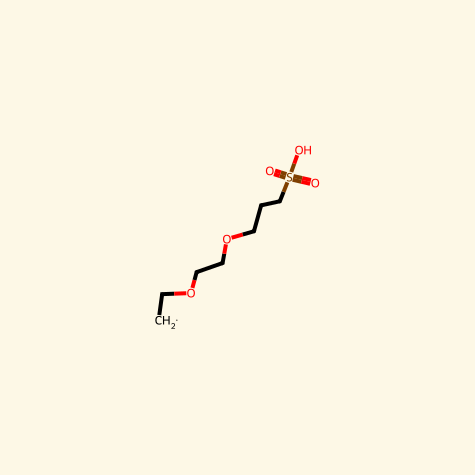 [CH2]COCCOCCCS(=O)(=O)O